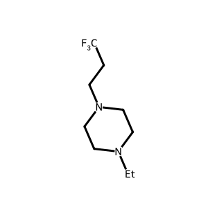 CCN1CCN(CCC(F)(F)F)CC1